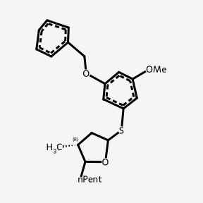 CCCCCC1OC(Sc2cc(OC)cc(OCc3ccccc3)c2)C[C@H]1C